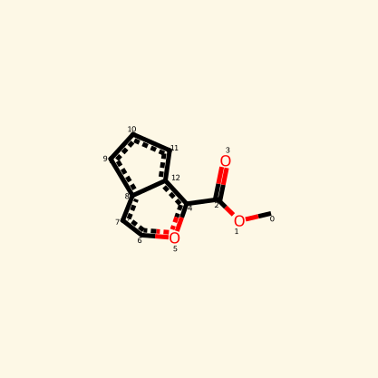 COC(=O)c1occc2[c]ccc1-2